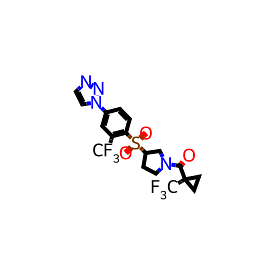 O=C(N1CCC(S(=O)(=O)c2ccc(-n3ccnn3)cc2C(F)(F)F)C1)C1(C(F)(F)F)CC1